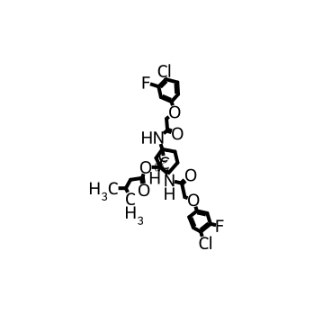 CC(C)CC(=O)O[C@@H]1CC2(NC(=O)COc3ccc(Cl)c(F)c3)CCC1(NC(=O)COc1ccc(Cl)c(F)c1)CC2